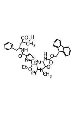 CCO[C@H](C[C@H](C(C)C)N(C)C(=O)[C@@H](NC(=O)OCC1c2ccccc2-c2ccccc21)[C@@H](C)CC)c1nc(C(=O)NC(Cc2ccccc2)CC(C)C(=O)O)cs1